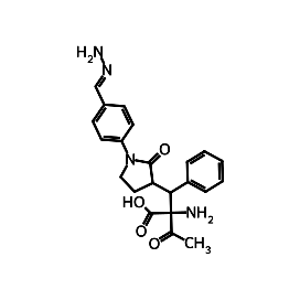 CC(=O)C(N)(C(=O)O)C(c1ccccc1)C1CCN(c2ccc(C=NN)cc2)C1=O